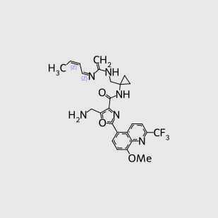 C=C(/N=C\C=C/C)NCC1(NC(=O)c2nc(-c3ccc(OC)c4nc(C(F)(F)F)ccc34)oc2CN)CC1